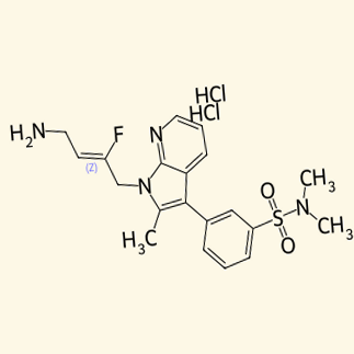 Cc1c(-c2cccc(S(=O)(=O)N(C)C)c2)c2cccnc2n1C/C(F)=C/CN.Cl.Cl